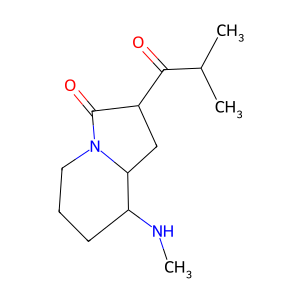 CNC1CCCN2C(=O)C(C(=O)C(C)C)CC12